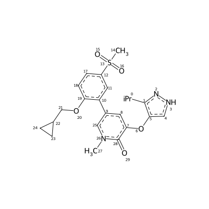 CC(C)c1n[nH]cc1Oc1cc(-c2cc(S(C)(=O)=O)ccc2OCC2CC2)cn(C)c1=O